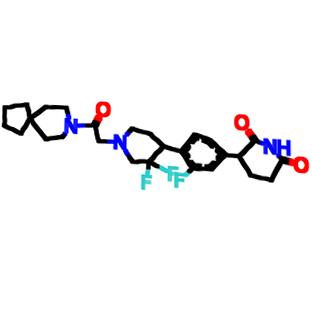 O=C1CCC(c2ccc(C3CCN(CC(=O)N4CCC5(CCCC5)CC4)CC3(F)F)c(F)c2)C(=O)N1